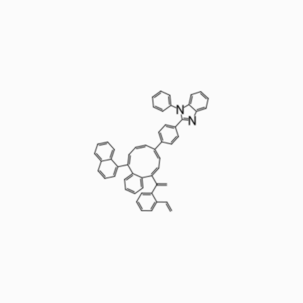 C=Cc1ccccc1C(=C)c1ccc(-c2ccc(-c3nc4ccccc4n3-c3ccccc3)cc2)cccc(-c2cccc3ccccc23)c2ccccc12